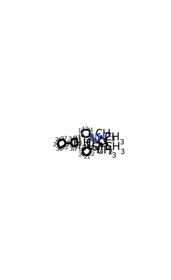 CC1=C(C)C(C)[C]([Hf]([CH3])([NH]C2CCCCC2)[SiH2]c2ccccc2)=C1C.c1ccc(-c2ccccc2)cc1